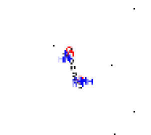 CC(C)(C)NC(=O)N1C2CCC(C2)C1c1ncc(-c2ccc(-c3ccc(-c4ccc5nc(C6CCCN6C(=O)OC(C)(C)C)[nH]c5c4)cc3)cc2)[nH]1